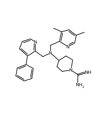 Cc1cnc(CN(Cc2ncccc2-c2ccccc2)C2CCN(C(=N)N)CC2)c(C)c1